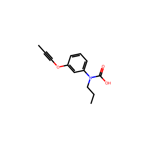 CC#COc1cccc(N(CCC)C(=O)O)c1